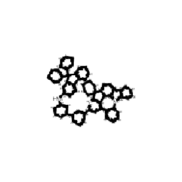 c1ccc(C2(c3ccccc3)c3ccccc3-c3ccc(Nc4cccc(-c5cccc(-c6cc7c8c(c6)C6(CCCCC6)c6ccc9c%10ccccc%10n(c9c6-8)-c6ccccc6-7)c5)c4)cc32)cc1